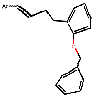 CC(=O)C=CCCc1ccccc1OCc1ccccc1